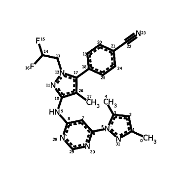 Cc1cc(C)n(-c2cc(Nc3nn(CC(F)F)c(-c4ccc(C#N)cc4)c3C)ncn2)n1